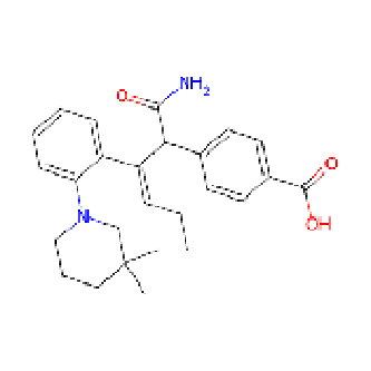 CCC=C(c1ccccc1N1CCCC(C)(C)C1)C(C(N)=O)c1ccc(C(=O)O)cc1